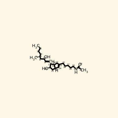 CCCC[C@H](C)C[C@H](O)/C=C/[C@@H]1[C@H]2CC(CCCCCNC(C)=O)=C[C@H]2C[C@H]1O